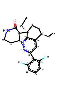 CC[C@H]1CC[C@](CC)([C@H]2CCCNC2=O)c2nnc(-c3c(F)cccc3F)cc21